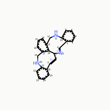 C1=C/C2/N=C/c3ccccc3NCc3cccc(c32)CNc2ccccc2/1